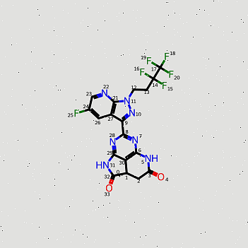 C[C@@]12CC(=O)Nc3nc(-c4nn(CCC(F)(F)C(F)(F)F)c5ncc(F)cc45)nc(c31)NC2=O